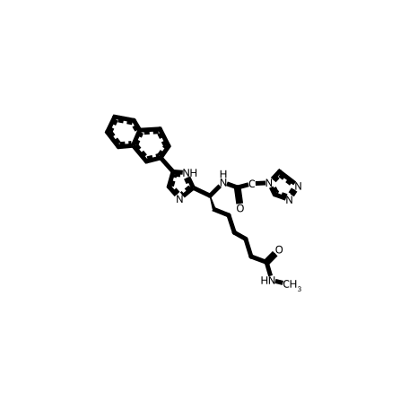 CNC(=O)CCCCC[C@H](NC(=O)Cn1cnnc1)c1ncc(-c2ccc3ccccc3c2)[nH]1